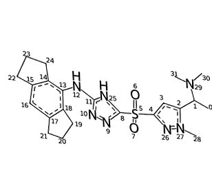 CC(c1cc(S(=O)(=O)c2nnc(Nc3c4c(cc5c3CCC5)CCC4)[nH]2)nn1C)N(C)C